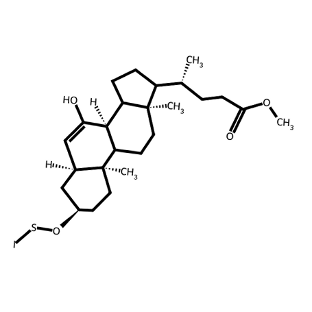 COC(=O)CC[C@@H](C)C1CCC2[C@@H]3C(O)=C[C@@H]4C[C@H](OSI)CC[C@]4(C)C3CC[C@@]21C